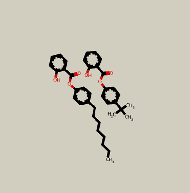 CC(C)(C)c1ccc(OC(=O)c2ccccc2O)cc1.CCCCCCCCc1ccc(OC(=O)c2ccccc2O)cc1